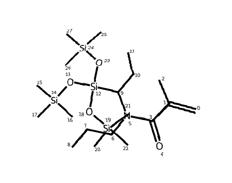 C=C(C)C(=O)N(CCC)C(CC)[Si](O[Si](C)(C)C)(O[Si](C)(C)C)O[Si](C)(C)C